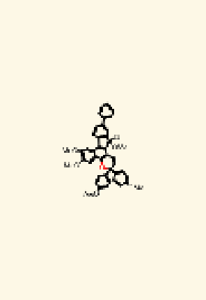 CCC1(OC)c2cc(-c3ccccc3)ccc2-c2c1c1c(c3cc(OC)c(OC)cc23)OC(c2ccc(OC)cc2)(c2ccc(OC)cc2)C=C1